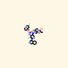 C=CC(=O)N1CC[C@@H]2[C@H]1CN2c1nc(OC[C@@]23CCCN2C[C@H](F)C3)nc2c(F)c(-c3cncc4c3CCCC4)ncc12